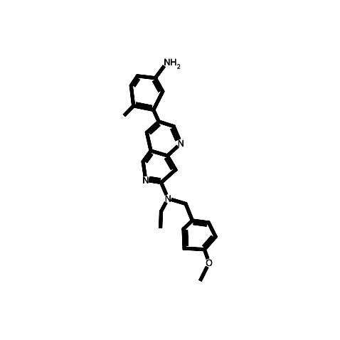 CCN(Cc1ccc(OC)cc1)c1cc2ncc(-c3cc(N)ccc3C)cc2cn1